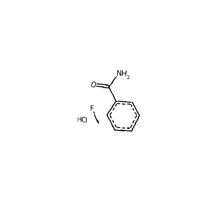 CF.Cl.NC(=O)c1ccccc1